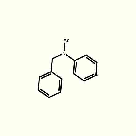 CC(=O)N(Cc1ccccc1)c1cc[c]cc1